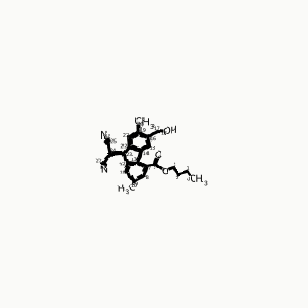 CCCCOC(=O)c1cc(C)cc2c1-c1cc(CO)c(C)cc1C2=C(C#N)C#N